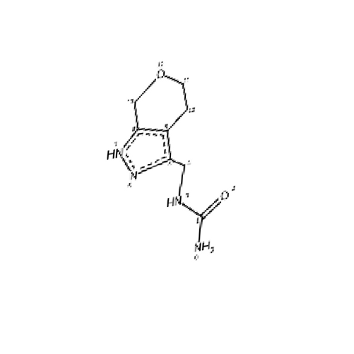 NC(=O)NCc1n[nH]c2c1CCOC2